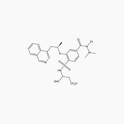 CCN(C(=O)c1ccc(S(=O)(=O)NC(C=O)CC(=O)O)c(O[C@H](C)Cc2cncc3ccccc23)c1)N(C)C